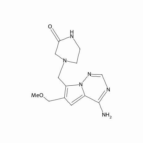 COCc1cc2c(N)ncnn2c1CN1CCNC(=O)C1